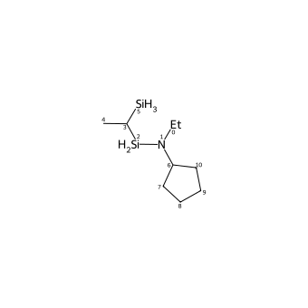 CCN([SiH2]C(C)[SiH3])C1CCCC1